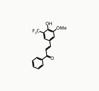 COc1cc(C=CC(=O)c2ccccc2)cc(C(F)(F)F)c1O